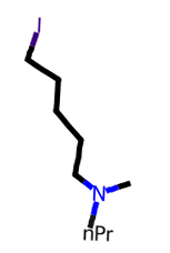 CCCN(C)CCCCCI